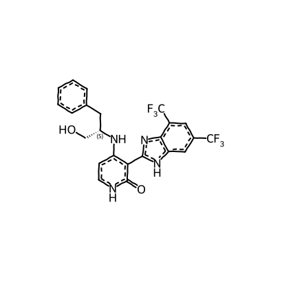 O=c1[nH]ccc(N[C@H](CO)Cc2ccccc2)c1-c1nc2c(C(F)(F)F)cc(C(F)(F)F)cc2[nH]1